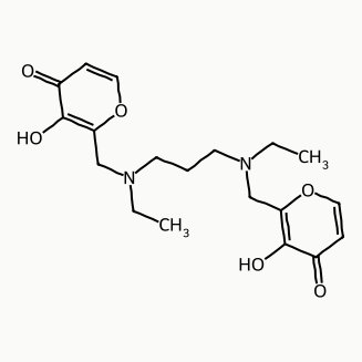 CCN(CCCN(CC)Cc1occc(=O)c1O)Cc1occc(=O)c1O